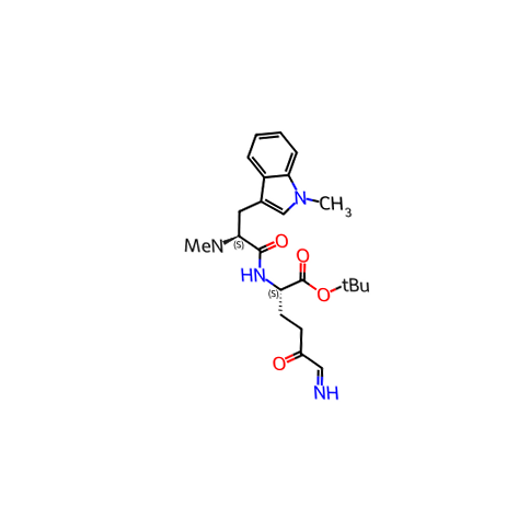 CN[C@@H](Cc1cn(C)c2ccccc12)C(=O)N[C@@H](CCC(=O)C=N)C(=O)OC(C)(C)C